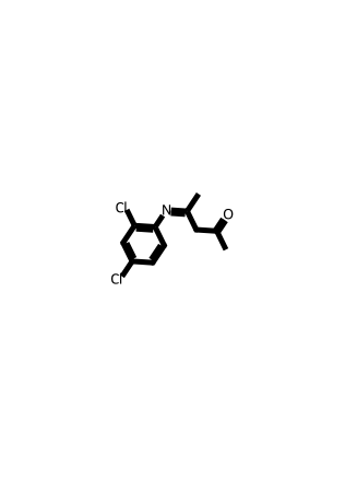 CC(=O)CC(C)=Nc1ccc(Cl)cc1Cl